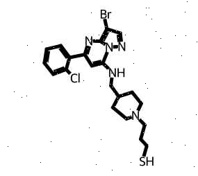 SCCCN1CCC(CNc2cc(-c3ccccc3Cl)nc3c(Br)cnn23)CC1